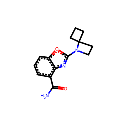 NC(=O)c1[c]ccc2oc(N3CCC34CCC4)nc12